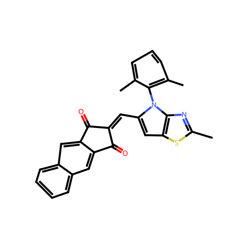 Cc1nc2c(cc(C=C3C(=O)c4cc5ccccc5cc4C3=O)n2-c2c(C)cccc2C)s1